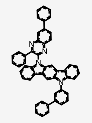 c1ccc(-c2cccc(-n3c4ccccc4c4cc5c(cc43)c3ccccc3n5-c3nc4ccc(-c5ccccc5)cc4nc3-c3ccccc3)c2)cc1